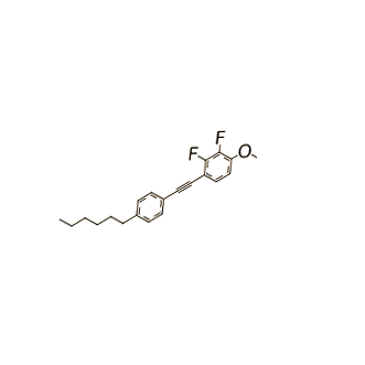 CCCCCCc1ccc(C#Cc2ccc(OC)c(F)c2F)cc1